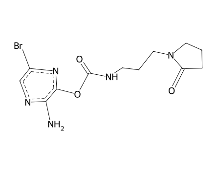 Nc1ncc(Br)nc1OC(=O)NCCCN1CCCC1=O